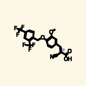 COc1cc(/C=C(\C#N)C(=O)O)ccc1OCc1ccc(C(F)(F)F)cc1C(F)(F)F